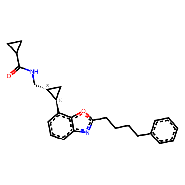 O=C(NC[C@@H]1C[C@H]1c1cccc2nc(CCCCc3ccccc3)oc12)C1CC1